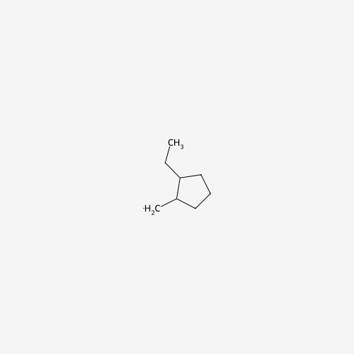 [CH2]C1CCCC1CC